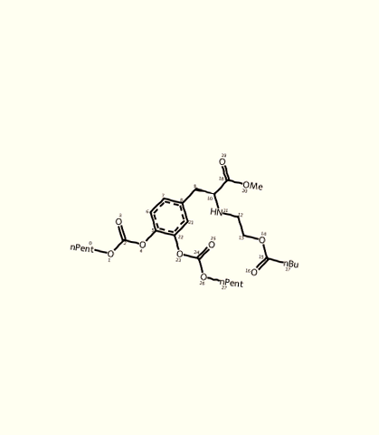 CCCCCOC(=O)Oc1ccc(C[C@H](NCCOC(=O)CCCC)C(=O)OC)cc1OC(=O)OCCCCC